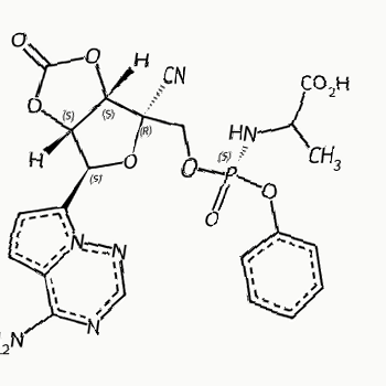 CC(N[P@](=O)(OC[C@@]1(C#N)O[C@@H](c2ccc3c(N)ncnn23)[C@@H]2OC(=O)O[C@@H]21)Oc1ccccc1)C(=O)O